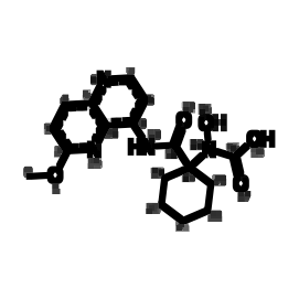 COc1ccc2nccc(NC(=O)C3(N(O)C(=O)O)CCCCC3)c2n1